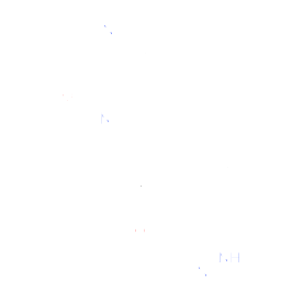 CC(C)(C1CCN(C(=O)c2cccnc2)CC1)C(O)c1cc(Cl)cc2[nH]ncc12